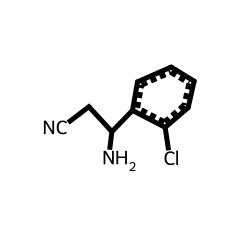 N#CCC(N)c1ccccc1Cl